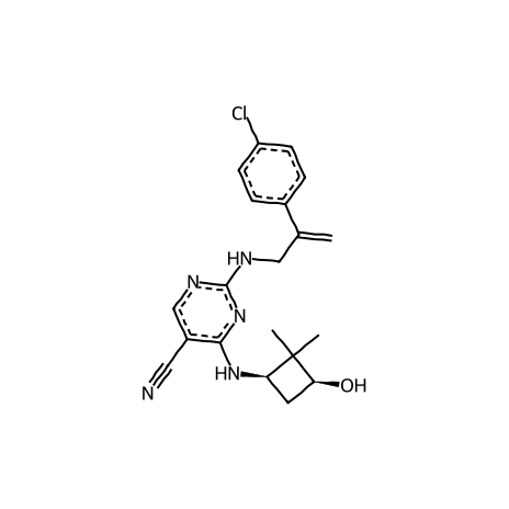 C=C(CNc1ncc(C#N)c(N[C@@H]2C[C@H](O)C2(C)C)n1)c1ccc(Cl)cc1